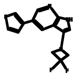 FC1(F)CN(c2c[nH]c3ncc(-c4ccsc4)cc23)C1